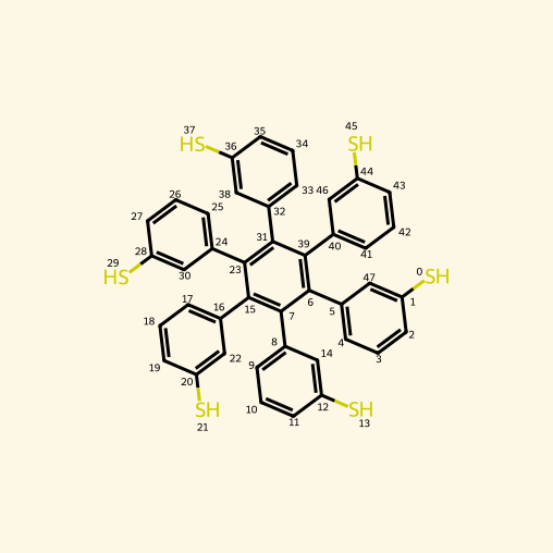 Sc1cccc(-c2c(-c3cccc(S)c3)c(-c3cccc(S)c3)c(-c3cccc(S)c3)c(-c3cccc(S)c3)c2-c2cccc(S)c2)c1